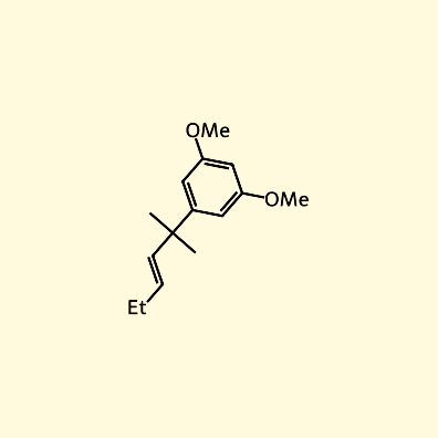 CC/C=C/C(C)(C)c1cc(OC)cc(OC)c1